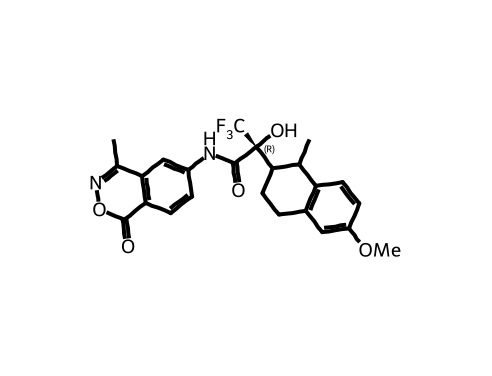 COc1ccc2c(c1)CCC([C@@](O)(C(=O)Nc1ccc3c(=O)onc(C)c3c1)C(F)(F)F)C2C